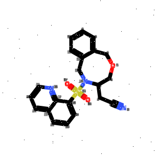 N#CCC1COCc2ccccc2CN1S(=O)(=O)c1cccc2cccnc12